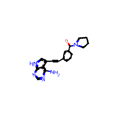 Nc1ncnc2[nH]cc(C#Cc3cccc(C(=O)N4CCCC4)c3)c12